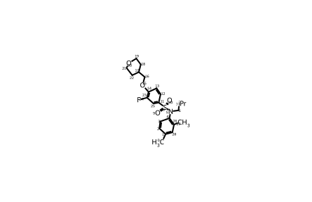 Cc1ccc(N(CC(C)C)S(=O)(=O)c2ccc(OCC3CCOCC3)c(F)c2)c(C)c1